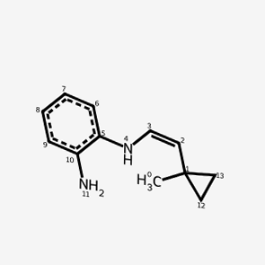 CC1(/C=C\Nc2ccccc2N)CC1